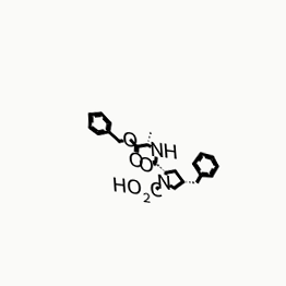 C[C@H](NC(=O)[C@@H]1C[C@H](Cc2ccccc2)CN1C(=O)O)C(=O)OCc1ccccc1